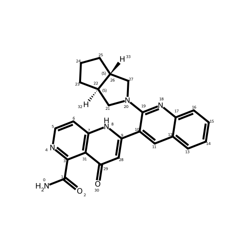 NC(=O)c1nccc2[nH]c(-c3cc4ccccc4nc3N3C[C@H]4CCC[C@@H]4C3)cc(=O)c12